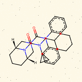 O=C(N1C[C@H]2CCC[C@@H](C1)N2C(=O)N(CC1CCCCC1)C1CC1)N(c1ccccc1)c1ccccc1